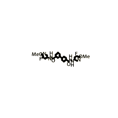 COc1ncc(NNC(=O)c2ccc(-c3cccc(C(=O)NNc4cnc(OC)c(F)c4)c3)cc2)cc1F